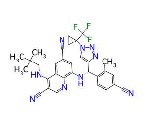 Cc1cc(C#N)ccc1[C@H](Nc1cc(C#N)cc2c(NCC(C)(C)C)c(C#N)cnc12)c1cn(C2(C(F)(F)F)CC2)nn1